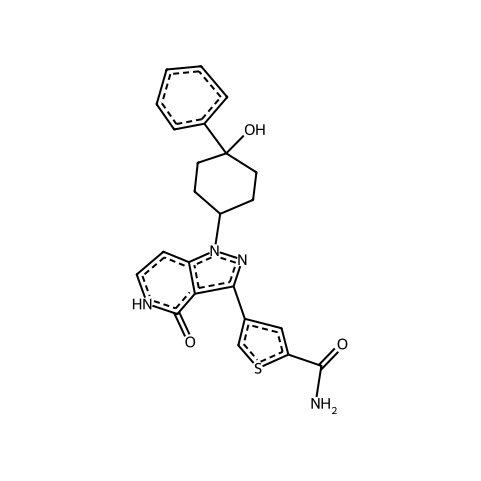 NC(=O)c1cc(-c2nn(C3CCC(O)(c4ccccc4)CC3)c3cc[nH]c(=O)c23)cs1